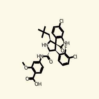 COc1cc(NC(=O)[C@@H]2N[C@@H](CC(C)(C)C)[C@@]3(C(=O)Nc4cc(Cl)ccc43)[C@H]2c2cccc(Cl)c2F)ccc1C(=O)O